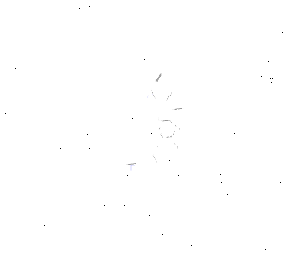 C=C(S/C=C(\C)CC(C)(C)C(=O)O)C(C)(C=O)c1c(C)nc(C2=CCC(C)C(C)=C2/C=C(/F)C#CC)nc1N